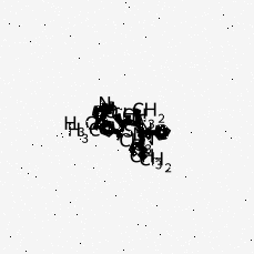 C=C/C=C(/c1nc(C(/C=C\C)=C/C=C)nc(-c2ccccc2)n1)c1sc(/C(=C\C)c2ccc3c(c2)-c2c(ccc4ncoc24)C3(C)C)c(C=C)c1C